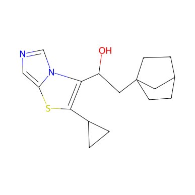 OC(CC12CCC(CC1)C2)c1c(C2CC2)sc2cncn12